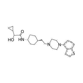 O=C(N[C@H]1CC[C@H](CCN2CCN(c3cccc4sccc34)CC2)CC1)C(O)C1CC1